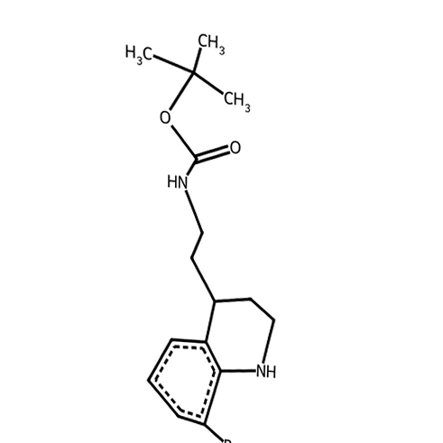 CC(C)(C)OC(=O)NCCC1CCNc2c(Br)cccc21